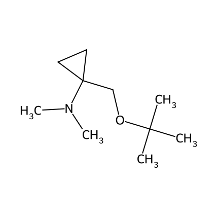 CN(C)C1(COC(C)(C)C)CC1